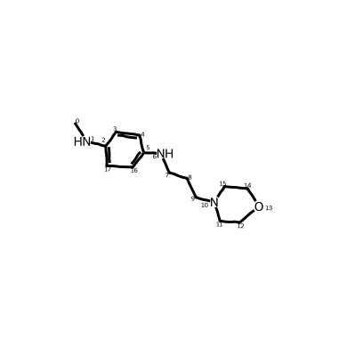 CNc1ccc(NCCCN2CCOCC2)cc1